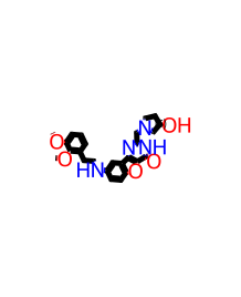 COc1cccc(CCNc2ccc3oc4c(=O)[nH]c(CN5CC[C@H](O)C5)nc4c3c2)c1OC